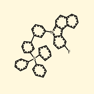 Fc1ccc2c(c1)c1c3ccccc3ccc1n2-c1cccc(-c2cccc(S(c3ccccc3)(c3ccccc3)c3ccccc3)c2)c1